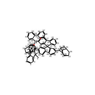 CC1(C)c2ccccc2-c2ccc(N(c3ccc4c(c3)C3(c5ccccc5-4)c4cc(C5C6CC7CC(C6)CC5C7)ccc4-c4ccc(C5C6CC7CC(C6)CC5C7)cc43)c3ccccc3-c3ccccc3)cc21